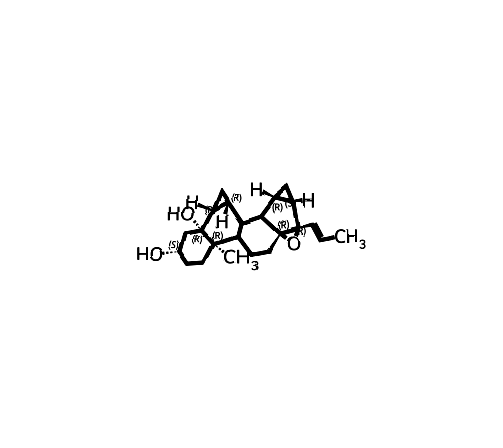 CC=C[C@@]12O[C@@]13CCC1C(C3[C@@H]3C[C@@H]32)[C@H]2C[C@H]2[C@]2(O)C[C@@H](O)CC[C@]12C